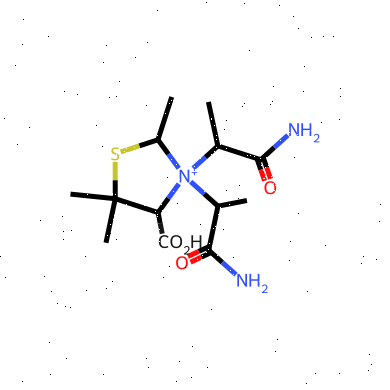 CC1SC(C)(C)C(C(=O)O)[N+]1(C(C)C(N)=O)C(C)C(N)=O